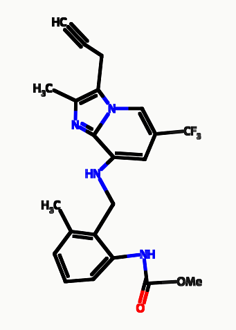 C#CCc1c(C)nc2c(NCc3c(C)cccc3NC(=O)OC)cc(C(F)(F)F)cn12